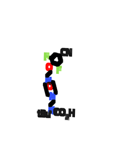 CC(C)(C)N(CCN1CC2CN(CCOc3c(F)cc(C#N)cc3F)CC(C1)O2)C(=O)O